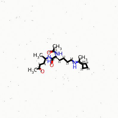 CC(=O)CCC(C)NC(=O)[C@H](CCCCNC(C)=C1CCC1)NC(C)=O